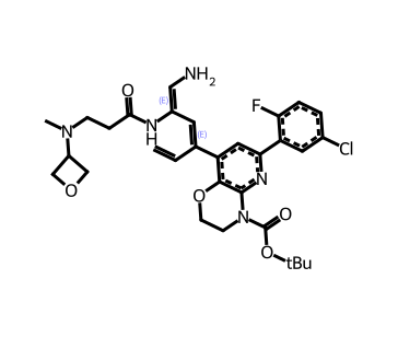 C=C/C(=C\C(=C/N)NC(=O)CCN(C)C1COC1)c1cc(-c2cc(Cl)ccc2F)nc2c1OCCN2C(=O)OC(C)(C)C